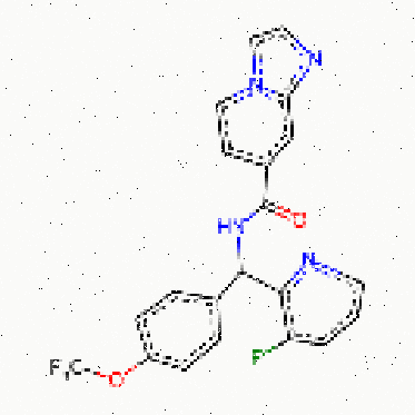 O=C(NC(c1ccc(OC(F)(F)F)cc1)c1ncccc1F)c1ccn2ccnc2c1